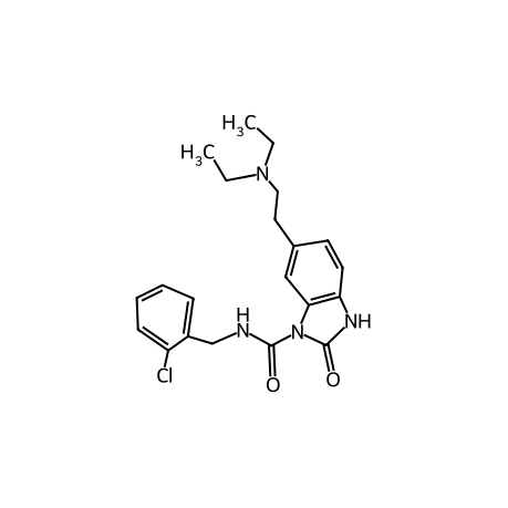 CCN(CC)CCc1ccc2[nH]c(=O)n(C(=O)NCc3ccccc3Cl)c2c1